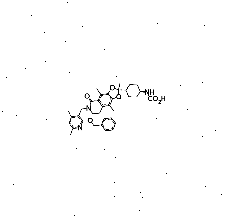 Cc1cc(C)c(CN2CCc3c(C)c4c(c(C)c3C2=O)OC(C)([C@H]2CC[C@H](NC(=O)O)CC2)O4)c(OCc2ccccc2)n1